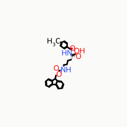 Cc1ccc(C(=O)N[C@@H](CCCCNC(=O)OCC2c3ccccc3-c3ccccc32)C(=O)O)cc1